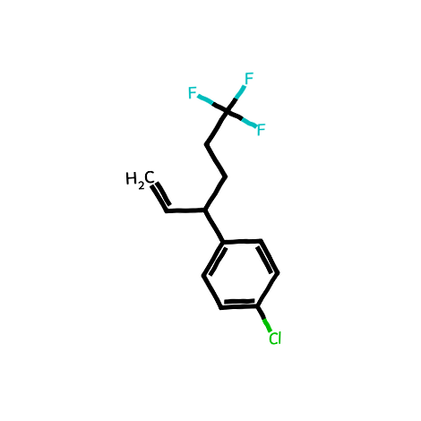 C=CC(CCC(F)(F)F)c1ccc(Cl)cc1